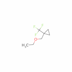 CCOCC1(C(F)(F)F)CC1